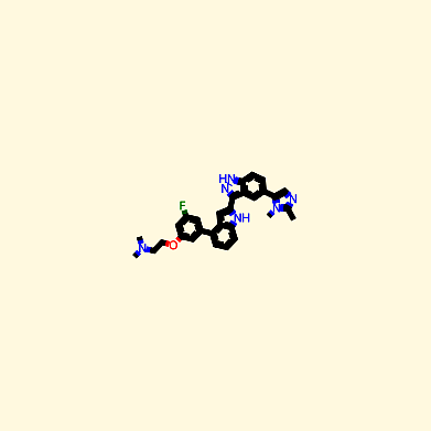 Cc1ncc(-c2ccc3[nH]nc(-c4cc5c(-c6cc(F)cc(OCCN(C)C)c6)cccc5[nH]4)c3c2)n1C